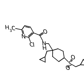 Cc1ccc(C(=O)NCC2(CC3CC3)CCC(S(=O)(=O)CC3CC3)CC2)c(Cl)n1